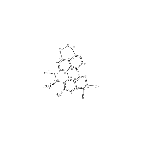 CCOC(=O)[C@@H](OC(C)(C)C)c1c(C)cc2c(F)c(Cl)ccc2c1-c1ccc2c3c(ccnc13)CCO2